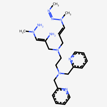 C/N=N\N(C)/C=C/CN(CCN(Cc1ccccn1)Cc1ccccn1)C/C(N)=C/N(C)N